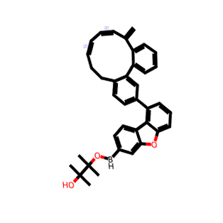 C=C1/C=C\C=C/CCc2ccc(-c3cccc4oc5cc(BOC(C)(C)C(C)(C)O)ccc5c34)cc2-c2ccccc21